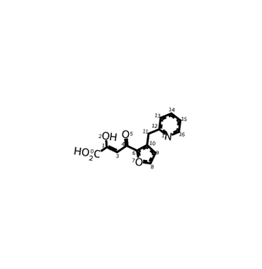 O=C(O)C(O)=CC(=O)c1occc1Cc1ccccn1